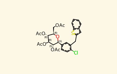 CC(=O)OC[C@H]1O[C@@H](c2ccc(Cl)c(Cc3cc4ccccc4s3)c2)[C@H](OC(C)=O)[C@@H](OC(C)=O)[C@@H]1OC(C)=O